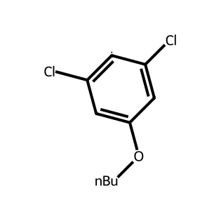 CCCCOc1cc(Cl)[c]c(Cl)c1